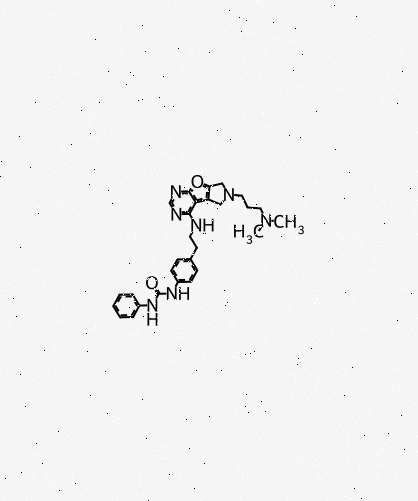 CN(C)CCCN1Cc2oc3ncnc(NCCc4ccc(NC(=O)Nc5ccccc5)cc4)c3c2C1